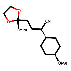 CCCCCCC1(CCC(C#N)[C@H]2CC[C@H](OC)CC2)OCCO1